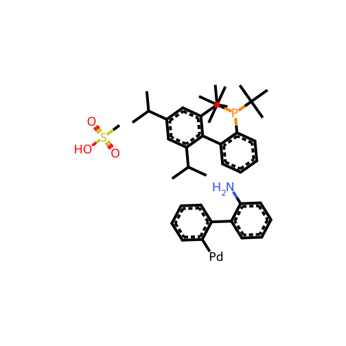 CC(C)c1cc(C(C)C)c(-c2ccccc2P(C(C)(C)C)C(C)(C)C)c(C(C)C)c1.CS(=O)(=O)O.Nc1ccccc1-c1cccc[c]1[Pd]